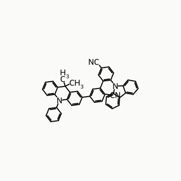 CC1(C)c2ccccc2N(c2ccccc2)c2ccc(-c3ccc(C#N)c(-c4cc(C#N)ccc4-n4c5ccccc5c5ccccc54)c3)cc21